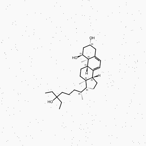 CCC(O)(CC)CCC[C@@H](C)[C@H]1CC[C@H]2C3=CC=C4C[C@@H](O)C[C@H](O)[C@]4(C)[C@H]3CC[C@]12C